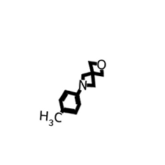 Cc1ccc(N2CC3(COC3)C2)cc1